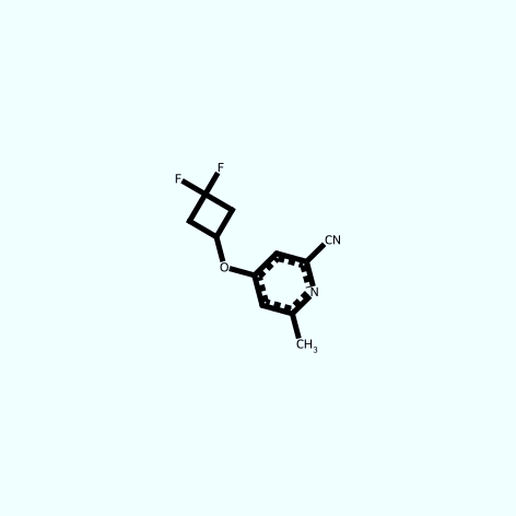 Cc1cc(OC2CC(F)(F)C2)cc(C#N)n1